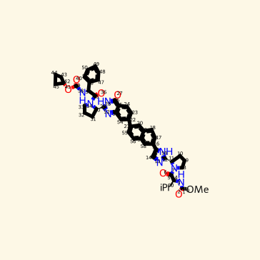 COC(=O)N[C@H](C(=O)N1CCC[C@H]1c1ncc(-c2ccc3cc(-c4ccc5c(=O)[nH]c([C@@H]6CCCN6C(=O)[C@H](NC(=O)OC6CCC6)c6ccccc6)nc5c4)ccc3c2)[nH]1)C(C)C